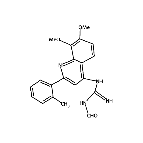 COc1ccc2c(NC(=N)NC=O)cc(-c3ccccc3C)nc2c1OC